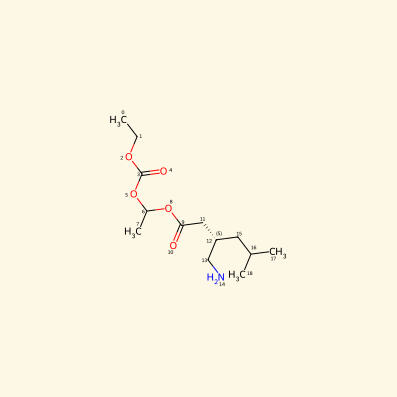 CCOC(=O)OC(C)OC(=O)C[C@@H](CN)CC(C)C